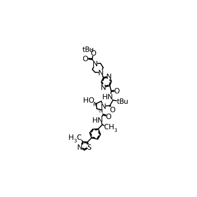 Cc1ncsc1-c1ccc(C(C)NC(=O)[C@@H]2C[C@@H](O)CN2C(=O)C(NC(=O)c2cnc(N3CCN(C(=O)OC(C)(C)C)CC3)cn2)C(C)(C)C)cc1